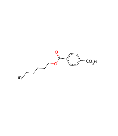 CC(C)CCCCCOC(=O)c1ccc(C(=O)O)cc1